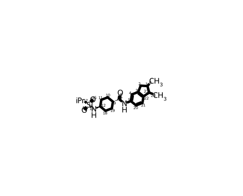 CC1Cc2cc(NC(=O)[C@H]3CC[C@H](NS(=O)(=O)C(C)C)CC3)ccc2C1C